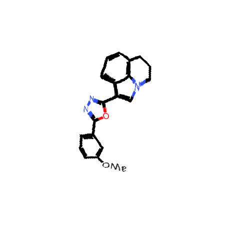 COc1cccc(-c2nnc(-c3cn4c5c(cccc35)CCC4)o2)c1